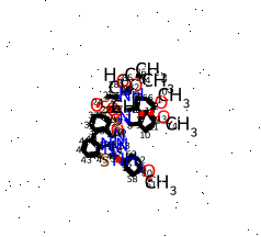 COc1ccc(CN(Cc2ccc(OC)cc2)S(=O)(=O)c2c(S(=O)(=O)CC(C)(C)NC(=O)OC(C)(C)C)ccc(-c3cccc4sc(N)nc34)c2-c2nnn(Cc3ccc(OC)cc3)n2)cc1